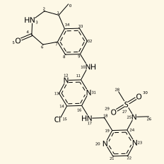 CC1CNC(=O)Cc2cc(Nc3ncc(Cl)c(NCc4nccnc4N(C)S(C)(=O)=O)n3)ccc21